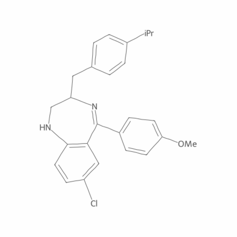 COc1ccc(C2=NC(Cc3ccc(C(C)C)cc3)CNc3ccc(Cl)cc32)cc1